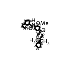 COc1cc(C(=O)N2CCN(C(C)(C)c3ccccc3)CC2)ccc1N[S+]([O-])c1cccc2cccnc12